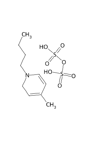 CCCCN1C=CC(C)=CC1.O=S(=O)(O)OS(=O)(=O)O